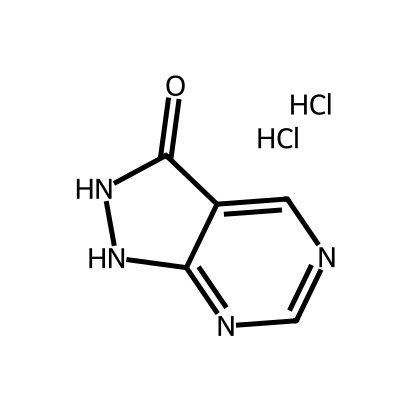 Cl.Cl.O=c1[nH][nH]c2ncncc12